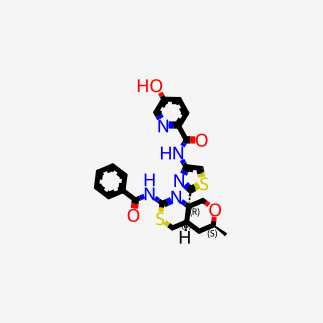 C[C@H]1C[C@H]2CSC(NC(=O)c3ccccc3)=N[C@@]2(c2nc(NC(=O)c3ccc(O)cn3)cs2)CO1